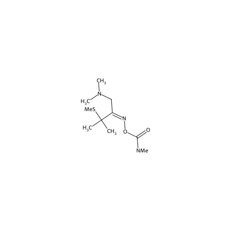 CNC(=O)ON=C(CN(C)C)C(C)(C)SC